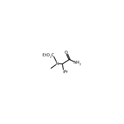 CCOC(=O)N(C)C(C(N)=O)C(C)C